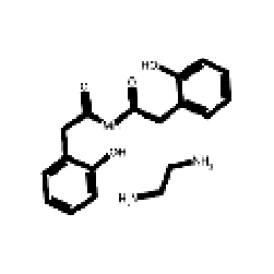 NCCN.O=[C](Cc1ccccc1O)[Mn][C](=O)Cc1ccccc1O